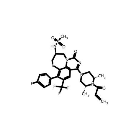 C=CC(=O)N1[C@H](C)CN(c2nc(=O)n3c4c(c(-c5ccc(F)cc5)c(C(F)(F)F)cc24)SC[C@@H](NS(C)(=O)=O)C3)C[C@@H]1C